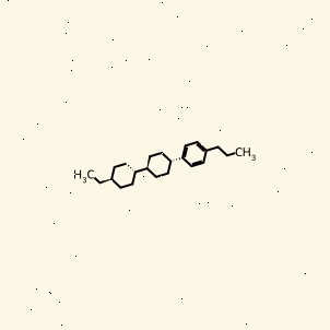 CCCc1ccc([C@H]2CC[C@H]([C@H]3CC[C@H](CC)CC3)CC2)cc1